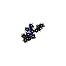 CC1(C)c2ccc(-c3cc(N(c4ccccc4)c4ccccc4)cc(N(c4ccccc4)c4ccc5c(c4)C4(c6ccccc6-c6ccccc64)c4ccccc4-5)c3)cc2-c2ccc3ccccc3c21